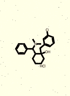 CN(C)C(c1ccccc1)C1CCCCC1(O)Cc1cccc(Cl)c1.Cl